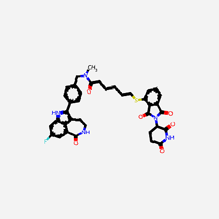 CN(Cc1ccc(-c2[nH]c3cc(F)cc4c3c2CCNC4=O)cc1)C(=O)CCCCCSc1cccc2c1C(=O)N(C1CCC(=O)NC1=O)C2=O